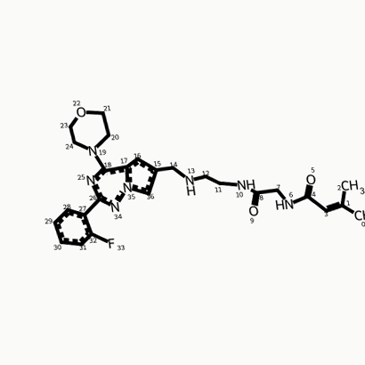 CC(C)=CC(=O)NCC(=O)NCCNCc1cc2c(N3CCOCC3)nc(-c3ccccc3F)nn2c1